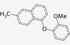 COc1ccccc1Oc1cccc2cc(C)ccc12